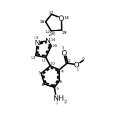 COC(=O)c1cc(N)ccc1-c1cnn([C@@H]2CCOC2)c1